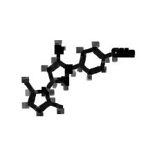 COc1ccc(-n2nc(-n3c(C)ccc3C)cc2Br)cc1